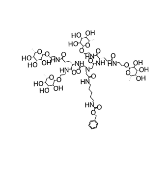 C[C@@H]1O[C@@H](OCCNC(=O)CC[C@H](NC(=O)CN(CC(=O)NCCCCCNC(=O)OCc2ccccc2)CC(=O)N[C@@H](CCC(=O)NCCO[C@@H]2O[C@@H](C)[C@@H](O)[C@@H](O)[C@@H]2O)C(=O)NCCO[C@@H]2O[C@@H](C)[C@@H](O)[C@@H](O)[C@@H]2O)C(=O)NCCO[C@@H]2O[C@@H](C)[C@@H](O)[C@@H](O)[C@@H]2O)[C@@H](O)[C@H](O)[C@@H]1O